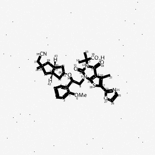 COc1ccccc1C(Cn1c(=O)n(C(C)(C)C(=O)O)c(=O)c2c(C)c(-c3ncco3)sc21)O[C@@H]1C[C@@H]2CC(C)(CC#N)C[C@@H]2C1